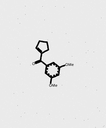 COc1cc(OC)cc(C(=O)C2=CCCC2)c1